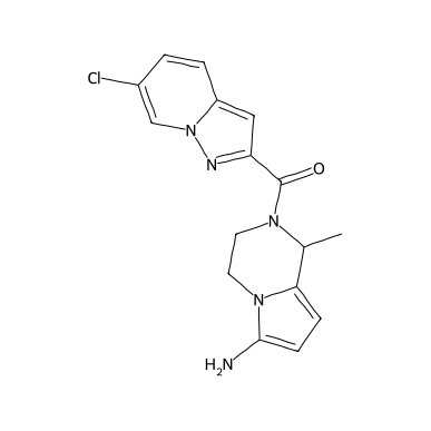 CC1c2ccc(N)n2CCN1C(=O)c1cc2ccc(Cl)cn2n1